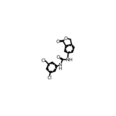 O=C(Nc1cc(Cl)cc(Cl)c1)Nc1ccc2c(c1)C(=O)OC2